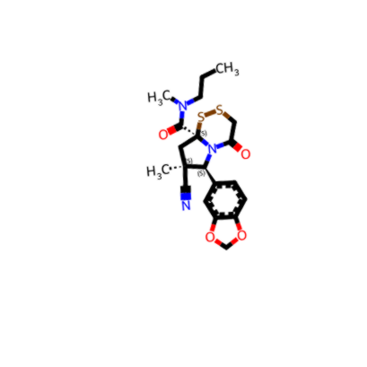 CCCN(C)C(=O)[C@@]12C[C@](C)(C#N)[C@H](c3ccc4c(c3)OCO4)N1C(=O)CSS2